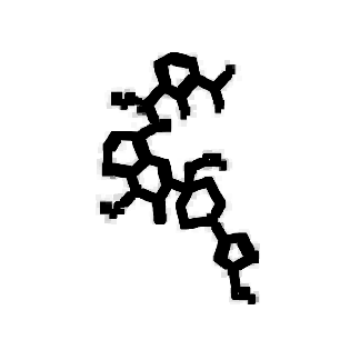 COC1(c2cc3c(N[C@H](C)c4cccc(C(F)F)c4F)ccnc3n(C)c2=O)CCN(c2cnn(C)c2)CC1